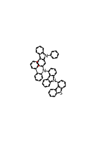 c1ccc(-c2ccccc2N(c2ccc3c4ccccc4n(-c4ccccc4)c3c2)c2cccc3c2c2ccccc2n3-c2cccc3sc4ccccc4c23)cc1